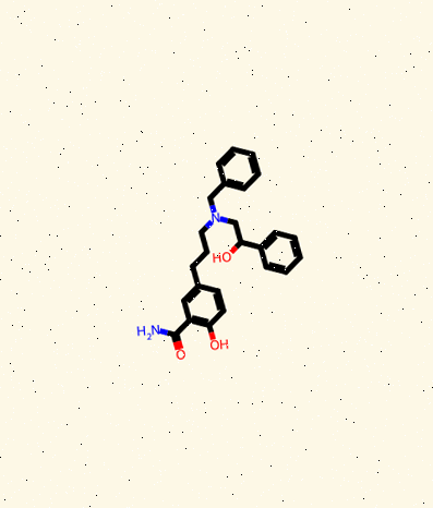 NC(=O)c1cc(CCCN(Cc2ccccc2)CC(O)c2ccccc2)ccc1O